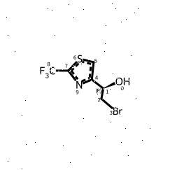 O[C@@H](CBr)c1csc(C(F)(F)F)n1